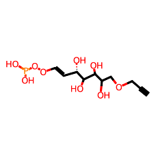 C#CCOCC(O)C(O)C(O)[C@@H](O)/C=C/OOP(O)O